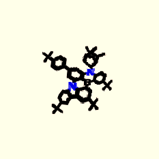 CC1C2CC(CC2N2c3ccc(C(C)(C)C)cc3B3c4c2cc(-c2ccc(C(C)(C)C)cc2)cc4-n2c4ccc(C(C)(C)C)cc4c4cc(C(C)(C)C)cc3c42)C1(C)C